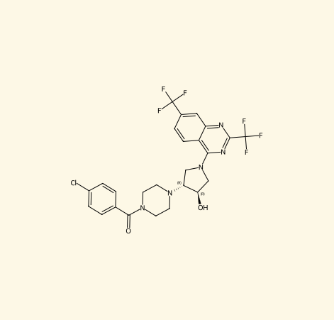 O=C(c1ccc(Cl)cc1)N1CCN([C@@H]2CN(c3nc(C(F)(F)F)nc4cc(C(F)(F)F)ccc34)C[C@H]2O)CC1